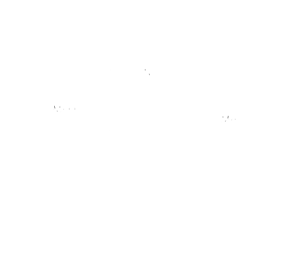 COC1=CCC(=Nc2ccc(OC)cc2)C=C1OCc1ccccc1